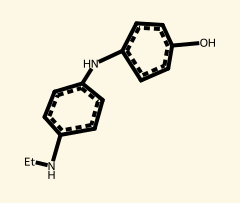 CCNc1ccc(Nc2ccc(O)cc2)cc1